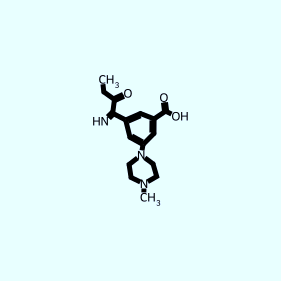 CCC(=O)C(=N)c1cc(C(=O)O)cc(N2CCN(C)CC2)c1